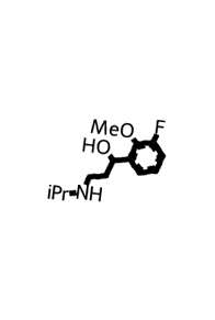 COc1c(F)cccc1C(O)CCNC(C)C